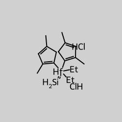 C[CH2][Hf](=[SiH2])([CH2]C)([C]1=C(C)C=C(C)C1)[C]1=C(C)C=C(C)C1.Cl.Cl